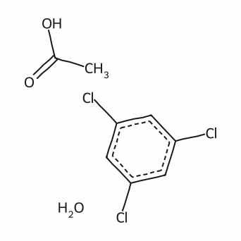 CC(=O)O.Clc1cc(Cl)cc(Cl)c1.O